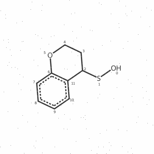 OSC1CCOc2ccccc21